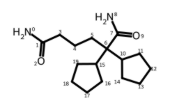 NC(=O)CCCC(C(N)=O)(C1CCCC1)C1CCCC1